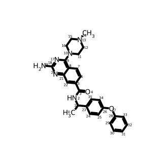 CC(NC(=O)c1ccc2c(N3CCN(C)CC3)nc(N)nc2c1)c1ccc(Oc2ccccc2)cc1